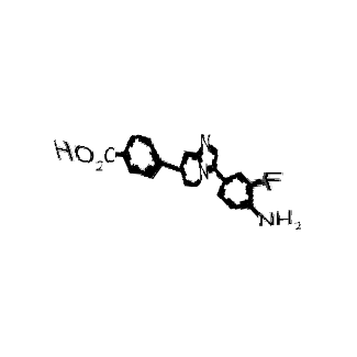 Nc1ccc(-c2cnc3cc(-c4ccc(C(=O)O)cc4)ccn23)cc1F